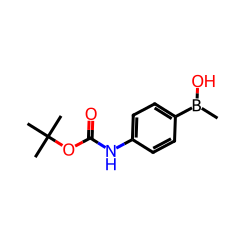 CB(O)c1ccc(NC(=O)OC(C)(C)C)cc1